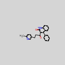 Cc1ccc(CCC(=O)c2c(-c3ccccc3)c3ccccc3[nH]c2=O)cn1